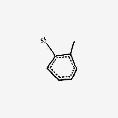 Cc1cccc[c]1[Sb]